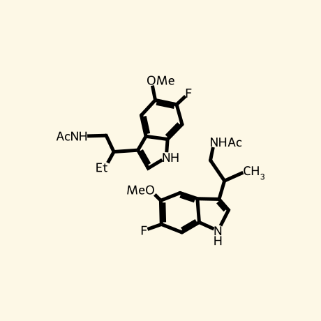 CCC(CNC(C)=O)c1c[nH]c2cc(F)c(OC)cc12.COc1cc2c(C(C)CNC(C)=O)c[nH]c2cc1F